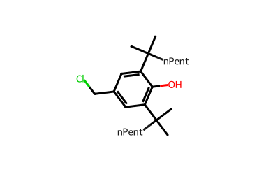 CCCCCC(C)(C)c1cc(CCl)cc(C(C)(C)CCCCC)c1O